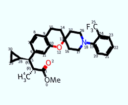 COC(=O)[C@H](C)[C@H](c1ccc2c(c1)OC1(CC2)CCN(c2ccccc2C(F)(F)F)CC1)C1CC1